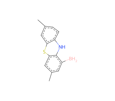 Bc1cc(C)cc2c1Nc1ccc(C)cc1S2